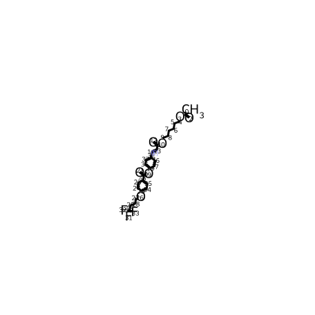 CC(=O)OCCCCCCOC(=O)/C=C/c1ccc(OC(=O)c2ccc(OCCCC(F)(F)F)cc2)cc1